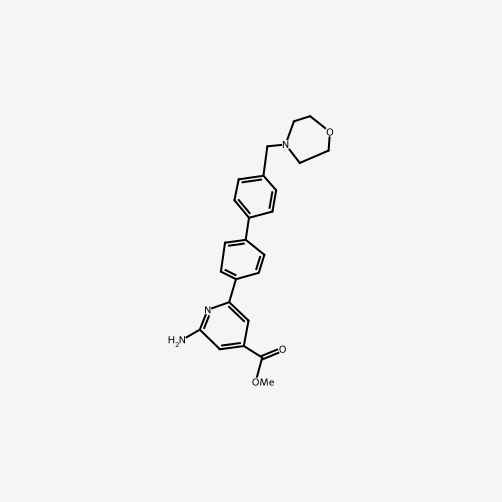 COC(=O)c1cc(N)nc(-c2ccc(-c3ccc(CN4CCOCC4)cc3)cc2)c1